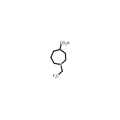 O=C(O)C1CCCN(CC(F)(F)F)CC1